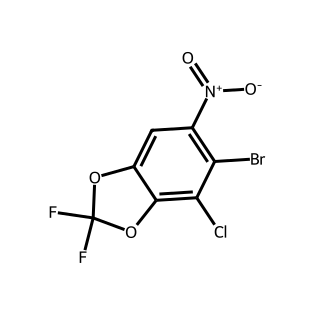 O=[N+]([O-])c1cc2c(c(Cl)c1Br)OC(F)(F)O2